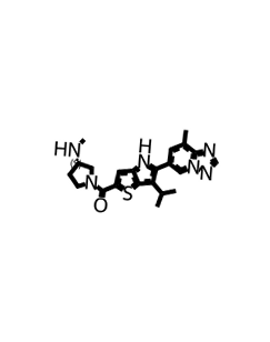 CN[C@H]1CCN(C(=O)c2cc3[nH]c(-c4cc(C)c5ncnn5c4)c(C(C)C)c3s2)C1